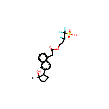 CC1(O)CCCC1c1ccc2c(CC(=O)OCCC(F)(F)C(F)(F)S(=O)(=O)O)cccc2c1